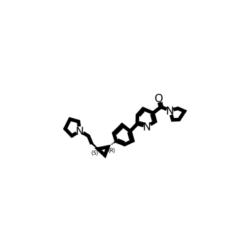 O=C(c1ccc(-c2ccc([C@@H]3C[C@H]3CCN3CCCC3)cc2)nc1)N1CCCC1